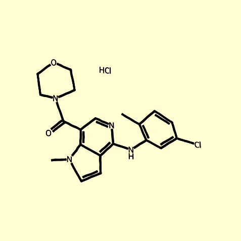 Cc1ccc(Cl)cc1Nc1ncc(C(=O)N2CCOCC2)c2c1ccn2C.Cl